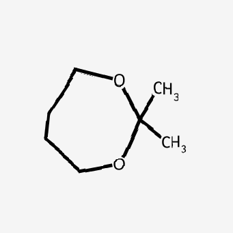 CC1(C)OCCCCO1